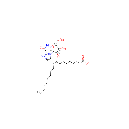 CCCCCCCC/C=C\CCCCCCCC(=O)[O-].NC(=O)c1[nH]cc[n+]1[C@@H]1O[C@H](CO)[C@@H](O)[C@H]1O